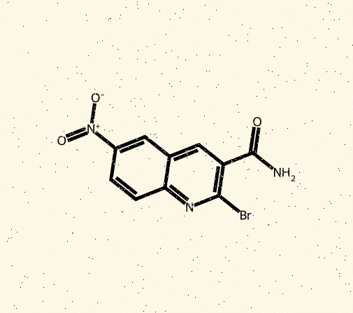 NC(=O)c1cc2cc([N+](=O)[O-])ccc2nc1Br